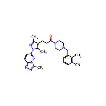 Cc1nn(-c2ccc3nnc(C(F)(F)F)n3n2)c(C)c1CCC(=O)N1CCN(Cc2cccc(C#N)c2C)CC1